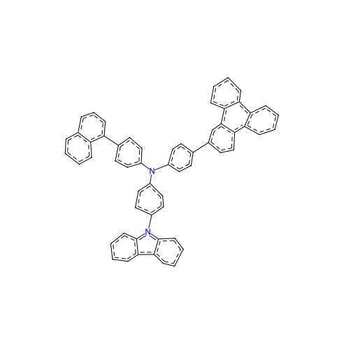 c1ccc2c(-c3ccc(N(c4ccc(-c5ccc6c7ccccc7c7ccccc7c6c5)cc4)c4ccc(-n5c6ccccc6c6ccccc65)cc4)cc3)cccc2c1